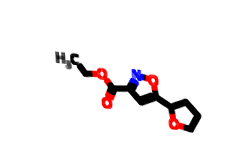 CCOC(=O)c1cc(C2CCCO2)on1